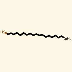 [SiH3]CCCCCCCCCCCCCCCCCCS